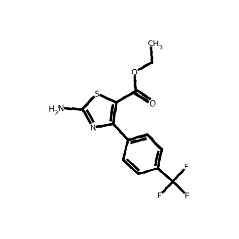 CCOC(=O)c1sc(N)nc1-c1ccc(C(F)(F)F)cc1